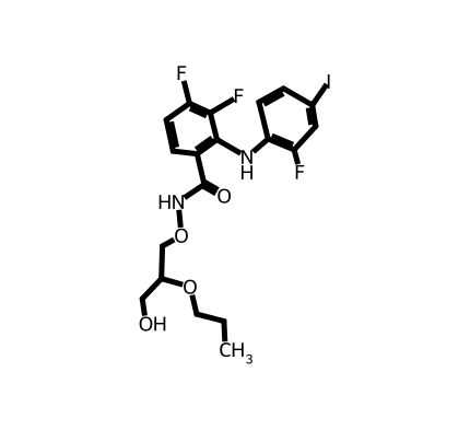 CCCOC(CO)CONC(=O)c1ccc(F)c(F)c1Nc1ccc(I)cc1F